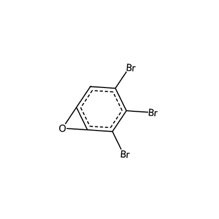 Brc1cc2c(c(Br)c1Br)O2